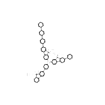 CC1(C)c2ccccc2-c2ccc(-c3ccc(N(c4ccc5c(c4)C(C)(C)c4cc(-c6ccccc6)ccc4-5)c4ccc5c(c4)C(C)(C)c4cc(-c6ccc(-c7ccc(-c8ccccc8)cc7)cc6)ccc4-5)cc3)cc21